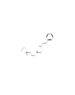 CCOC(=O)C(CCc1ccccc1)N[C@@H](C)C(=O)N[C@@H](CC1(C)SCCS1)C(=O)O